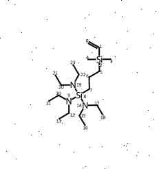 C=C[Si](C)(C)CCC[Si](N(CC)CC)(N(CC)CC)N(CC)CC